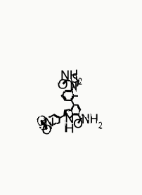 Cc1c(-c2ccc(C(N)=O)c3[nH]c(C4=CCN(S(C)(=O)=O)CC4)cc23)cccc1N1C=CSC1C(N)=O